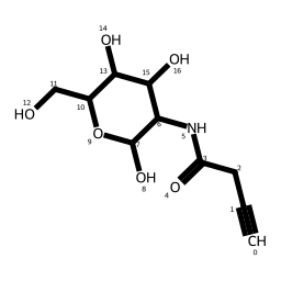 C#CCC(=O)NC1C(O)OC(CO)C(O)C1O